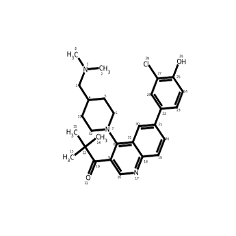 CN(C)CC1CCN(c2c(C(=O)C(C)(C)C)cnc3ccc(-c4ccc(O)c(Cl)c4)cc23)CC1